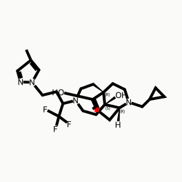 Cc1cnn(CCC(N2CC[C@]34CCN(CC5CC5)[C@H](Cc5ccc(O)cc53)[C@]4(O)CC2)C(F)(F)F)c1